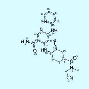 CN(CC#N)C(=O)N1CC[C@@H](Nc2cc(Nc3ccccn3)ncc2C(N)=O)[C@@H](F)C1